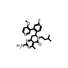 COc1ccncc1-c1cc(F)ccc1C1Cc2nc(N)nc(C)c2C(=O)N1CCC(C)C